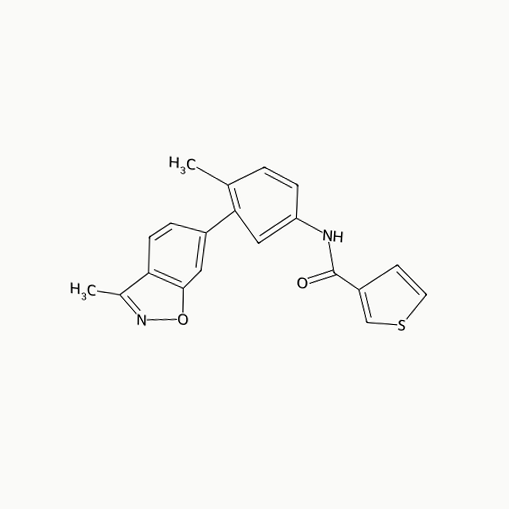 Cc1ccc(NC(=O)c2ccsc2)cc1-c1ccc2c(C)noc2c1